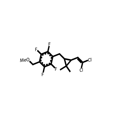 COCc1c(F)c(F)c(CC2C(C=C(Cl)Cl)C2(C)C)c(F)c1F